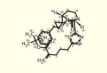 C=C(CCCc1nnc([C@@H]2CC3(CC3)[C@@H]3CCN2C(=O)N3OCc2ccccc2)o1)C(=O)OC(C)(C)C